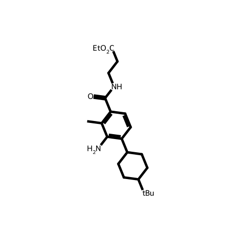 CCOC(=O)CCNC(=O)c1ccc(C2CCC(C(C)(C)C)CC2)c(N)c1C